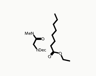 CCCCCCCC(=O)OCC.CCCCCCCCCCCC(=O)NC